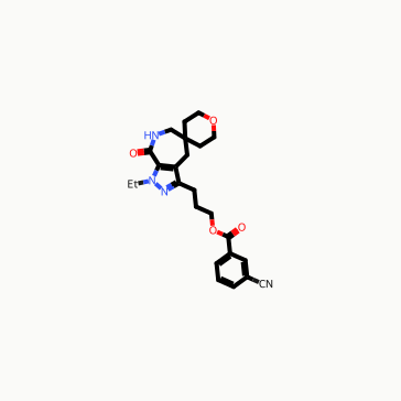 CCn1nc(CCCOC(=O)c2cccc(C#N)c2)c2c1C(=O)NCC1(CCOCC1)C2